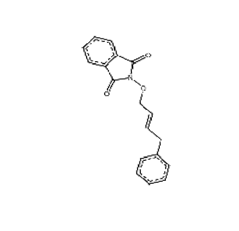 O=C1c2ccccc2C(=O)N1OC/C=C/Cc1ccccc1